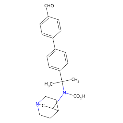 CC(C)(c1ccc(-c2ccc(C=O)cc2)cc1)N(C(=O)O)C1CN2CCC1CC2